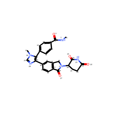 CNC(=O)c1ccc(-c2c(-c3ccc4c(c3)CN(C3CCC(=O)NC3=O)C4=O)ncn2C)cc1